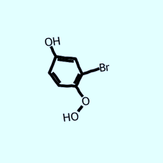 OOc1ccc(O)cc1Br